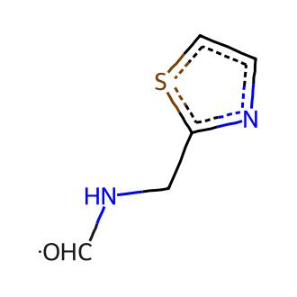 O=[C]NCc1nccs1